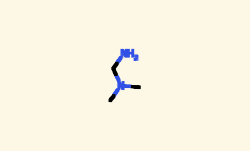 CN(C)CN